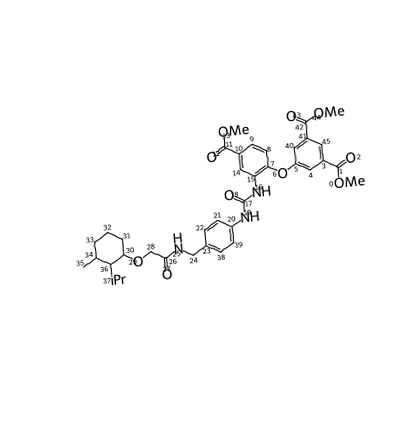 COC(=O)c1cc(Oc2ccc(C(=O)OC)cc2NC(=O)Nc2ccc(CNC(=O)COC3CCCC(C)C3C(C)C)cc2)cc(C(=O)OC)c1